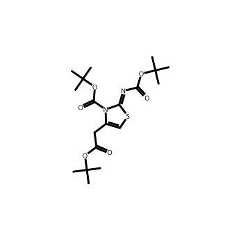 CC(C)(C)OC(=O)Cc1cs/c(=N\C(=O)OC(C)(C)C)n1C(=O)OC(C)(C)C